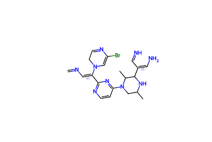 C=N/C=C(/c1nccc(N2CC(C)NC(/C(C=N)=C/N)C2C)n1)N1C=C(Br)N=CC1